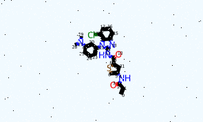 C=CC(=O)Nc1csc(C(=O)Nc2nc3cccc(Cl)c3n2-c2cccc(N(C)C)c2)c1